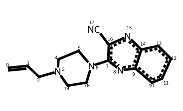 C=CCN1CCN(c2nc3ccccc3nc2C#N)CC1